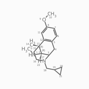 CN[C@H]1C2Cc3ccc(OC)cc3[C@@]1(C)CCN2CC1CC1